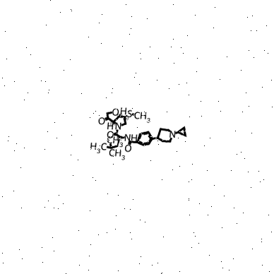 CS[C@H]1CN(C(=O)[C@H](CC(C)(C)C)NC(=O)c2ccc(C3CCN(C4CC4)CC3)cc2)[C@@H]2C(=O)CO[C@H]12